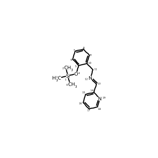 C[Si](C)(C)Oc1ccccc1CN=Cc1ccccn1